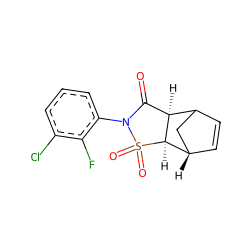 O=C1[C@H]2C3C=C[C@@H](C3)[C@H]2S(=O)(=O)N1c1cccc(Cl)c1F